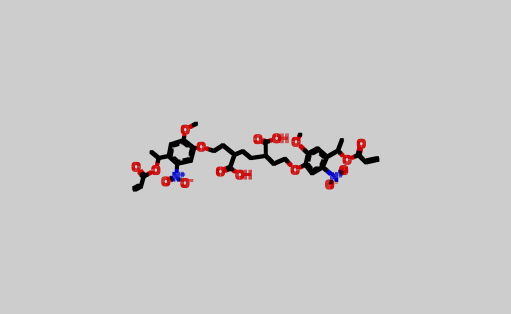 C=CC(=O)OC(C)c1cc(OC)c(OCCC(CCC(CCOc2cc([N+](=O)[O-])c(C(C)OC(=O)C=C)cc2OC)C(=O)O)C(=O)O)cc1[N+](=O)[O-]